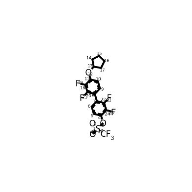 O=S(=O)(Oc1ccc(-c2ccc(OC3CCCC3)c(F)c2F)c(F)c1F)C(F)(F)F